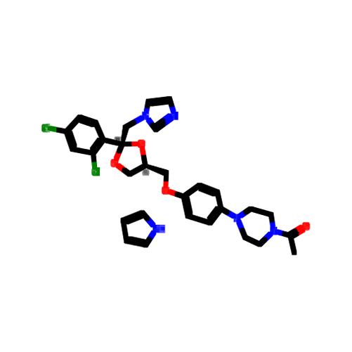 CC(=O)N1CCN(c2ccc(OC[C@H]3CO[C@](Cn4ccnc4)(c4ccc(Cl)cc4Cl)O3)cc2)CC1.c1cc[nH]c1